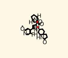 COc1cc(-c2cc(C(=O)N3[C@@H]4CC[C@H]3CC(C(=O)NC3CCC5(CCC(=O)N5)CC3)C4)n[nH]2)c(F)cn1